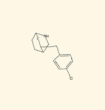 Clc1ccc(CC2CC3CCC2CN3)cc1